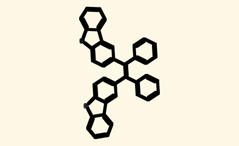 c1ccc(C(=C(c2ccccc2)c2ccc3oc4ccccc4c3c2)c2ccc3oc4ccccc4c3c2)cc1